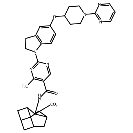 O=C(NC1(C(=O)O)C2CC3CC4CC1C34C2)c1cnc(N2CCc3cc(OC4CCN(c5ncccn5)CC4)ccc32)nc1C(F)(F)F